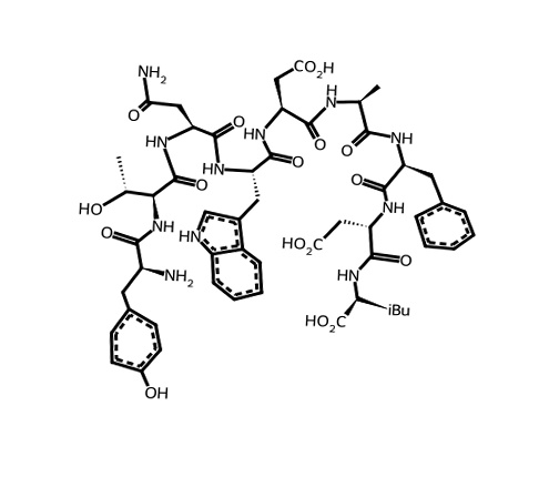 CC[C@H](C)[C@H](NC(=O)[C@H](CC(=O)O)NC(=O)[C@H](Cc1ccccc1)NC(=O)[C@H](C)NC(=O)[C@H](CC(=O)O)NC(=O)[C@H](Cc1c[nH]c2ccccc12)NC(=O)[C@H](CC(N)=O)NC(=O)[C@@H](NC(=O)[C@@H](N)Cc1ccc(O)cc1)[C@@H](C)O)C(=O)O